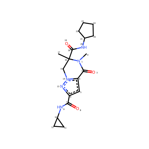 CN1C(=O)c2cc(C(=O)NC3CC3)nn2CC1(C)C(=O)NC1CCCC1